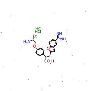 CC[C@@H](N)COc1ccc(C(Cc2cc3cc(C(=N)N)ccc3o2)C(=O)O)cc1.Cl.Cl